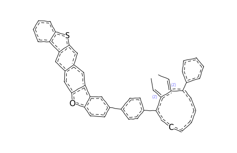 C/C=c1/c(-c2ccccc2)ccccccc(-c2ccc(-c3ccc4oc5cc6cc7c(cc6cc5c4c3)sc3ccccc37)cc2)/c1=C/C